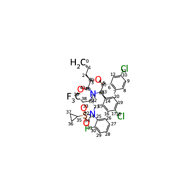 C=CC[C@H]1O[C@H](c2cccc(Cl)c2)[C@@H](c2ccc(Cl)cc2)N([C@H](CN(c2ccccc2F)S(=O)(=O)C2CC2)CC(F)(F)F)C1=O